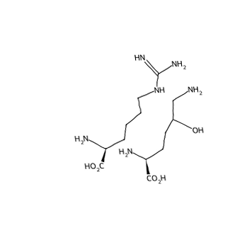 N=C(N)NCCCC[C@H](N)C(=O)O.NCC(O)CC[C@H](N)C(=O)O